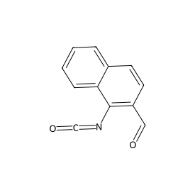 O=C=Nc1c(C=O)ccc2ccccc12